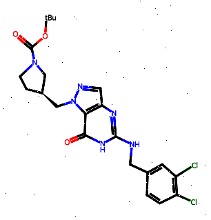 CC(C)(C)OC(=O)N1CC[C@H](Cn2ncc3nc(NCc4ccc(Cl)c(Cl)c4)[nH]c(=O)c32)C1